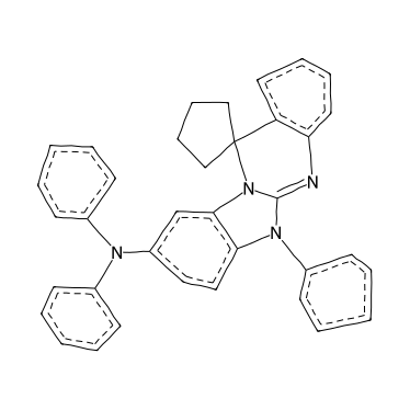 c1ccc(N2C3=Nc4ccccc4C4(CCCC4)N3c3cc(N(c4ccccc4)c4ccccc4)ccc32)cc1